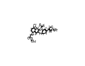 Cc1c(Cc2ccc(-c3ccn(C(C)C)n3)cc2)c(OC(F)F)nc2c(Cl)ccc(OCC(=O)OC(C)(C)C)c12